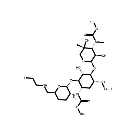 CN(C(=O)OC(C)(C)C)[C@@H]1[C@@H](O)[C@@H](O[C@@H]2[C@@H](O)[C@H](O[C@H]3O[C@H](CNCCF)CC[C@H]3N)[C@@H](NC(=O)OC(C)(C)C)C[C@H]2NC(=O)O)OC[C@]1(C)O